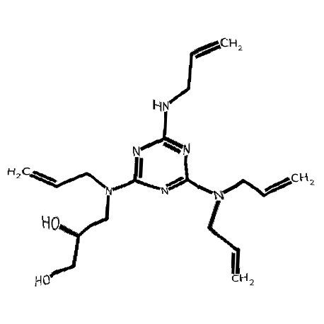 C=CCNc1nc(N(CC=C)CC=C)nc(N(CC=C)CC(O)CO)n1